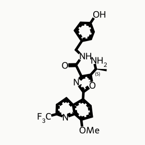 COc1ccc(-c2nc(C(=O)NCc3ccc(O)cc3)c([C@H](C)N)o2)c2ccc(C(F)(F)F)nc12